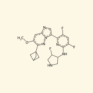 COc1cc2ncc(-c3nc(NC4CNCC4F)c(F)cc3F)n2nc1C12CC(C1)C2